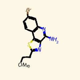 COCCc1nc2c(N)nc3cc(Br)ccc3c2s1